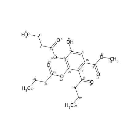 CCCC(=O)Oc1c(O)cc(C(=O)OC)c(C(=O)CCC)c1OC(=O)CCC